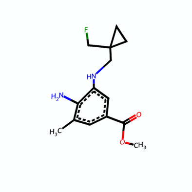 COC(=O)c1cc(C)c(N)c(NCC2(CF)CC2)c1